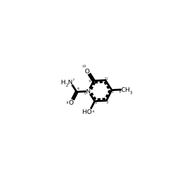 Cc1cc(O)n(C(N)=O)c(=O)c1